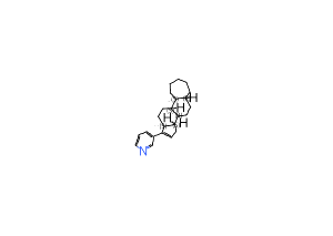 C[C@]12CCCCC[C@@H]1CC[C@@H]1[C@@H]2CC[C@]2(C)C(c3cccnc3)=CC[C@@H]12